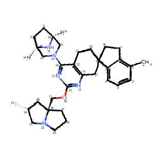 Cc1cccc2c1CCC21CCc2c(nc(OC[C@@]34CCCN3C[C@H](F)C4)nc2N2C[C@H]3CC[C@@H](C2)N3)C1